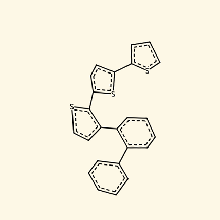 c1ccc(-c2ccccc2-c2ccsc2-c2ccc(-c3cccs3)s2)cc1